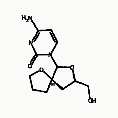 Nc1ccn(C2OC(CO)C[C@]23CCCO3)c(=O)n1